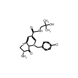 CC(C)(O)CNC(=O)C1=CN(Cc2ccc(Cl)cc2)C2C(=O)[C@@H](N)CSC2=C1